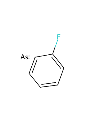 Fc1ccccc1.[As]